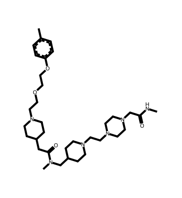 CNC(=O)CN1CCN(CCN2CCC(CN(C)C(=O)CC3CCN(CCOCCOc4ccc(C)cc4)CC3)CC2)CC1